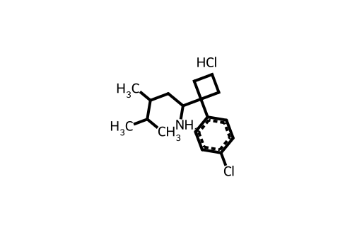 CC(C)C(C)CC(N)C1(c2ccc(Cl)cc2)CCC1.Cl